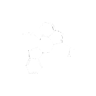 C[SiH2]C1=Cc2ccccc2[CH]1[V+][CH]1C([SiH2]C)=Cc2ccccc21.[Cl-]